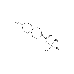 CC(C)(C)OC(=O)N1C[CH]C2(CCC(N)CC2)CC1